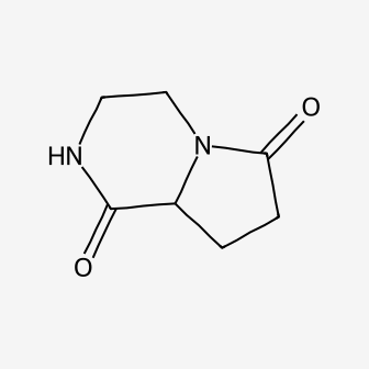 O=C1NCCN2C(=O)CCC12